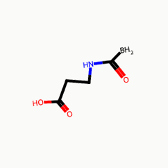 BC(=O)NCCC(=O)O